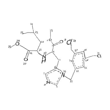 COC(=O)C(Cc1cncn1Cc1cc(Cl)cc(Cl)c1)NC(CC(C)C)C(=O)OC